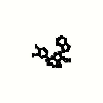 N[C@H](c1ccc(I)c(F)c1)[C@H]1O[C@@H](n2ccc3cncnc32)[C@H](O)[C@@H]1O